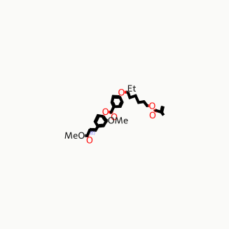 C=C(C)C(=O)OCCCCCC(CC)Oc1ccc(C(=O)Oc2ccc(/C=C/C(=O)OC)cc2OC)cc1